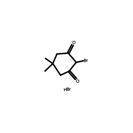 Br.CC1(C)CC(=O)C(Br)C(=O)C1